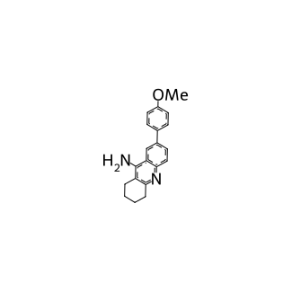 COc1ccc(-c2ccc3nc4c(c(N)c3c2)CCCC4)cc1